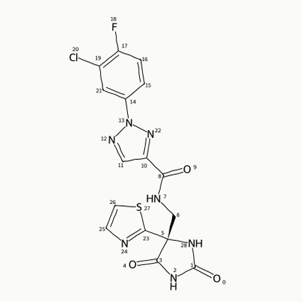 O=C1NC(=O)[C@](CNC(=O)c2cnn(-c3ccc(F)c(Cl)c3)n2)(c2nccs2)N1